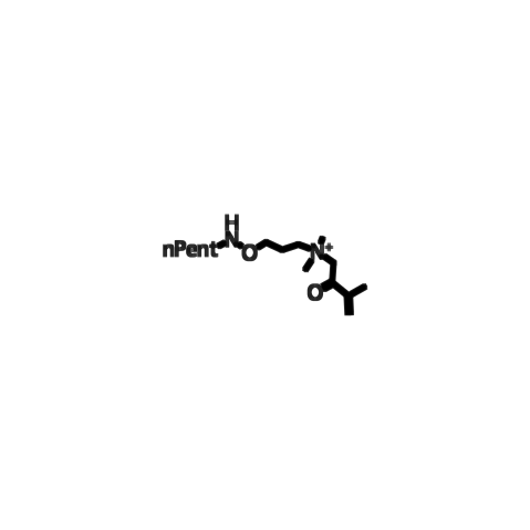 C=C(C)C(=O)C[N+](C)(C)CCCONCCCCC